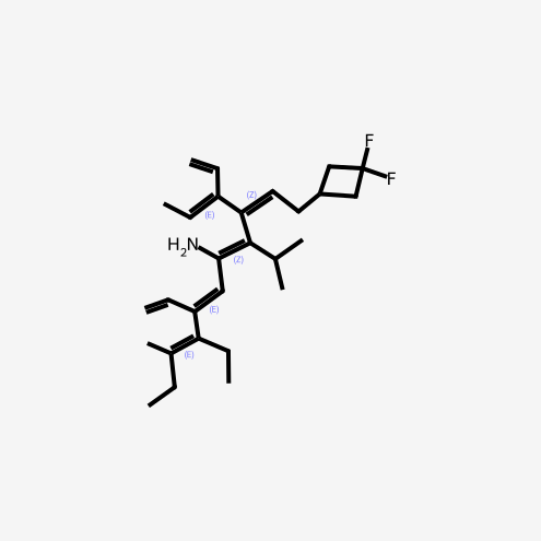 C=CC(=C\C)/C(=C/CC1CC(F)(F)C1)C(=C(N)/C=C(C=C)/C(CC)=C(\C)CC)/C(C)C